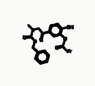 CC(C)C(=O)Oc1cc(C(=O)CN(C)C(=O)OCc2ccccc2)ccc1O